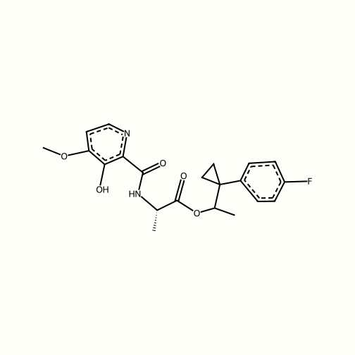 COc1ccnc(C(=O)N[C@@H](C)C(=O)OC(C)C2(c3ccc(F)cc3)CC2)c1O